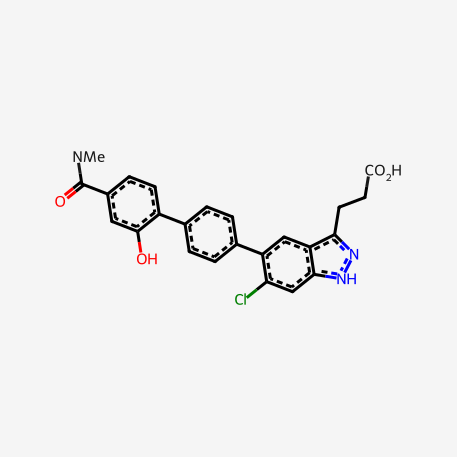 CNC(=O)c1ccc(-c2ccc(-c3cc4c(CCC(=O)O)n[nH]c4cc3Cl)cc2)c(O)c1